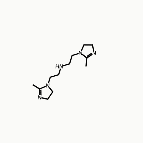 CC1=NCCN1CCNCCN1CCN=C1C